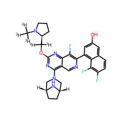 [2H]C([2H])(Oc1nc(N2C[C@H]3CC[C@@H](C2)N3)c2cnc(-c3cc(O)cc4ccc(F)c(F)c34)c(F)c2n1)[C@@H]1CCCN1C([2H])([2H])[2H]